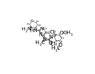 COc1cc(OC)c(Cl)c(N2Cc3cnc(NC4CCCCC4N)nc3N(C)C2=O)c1Cl